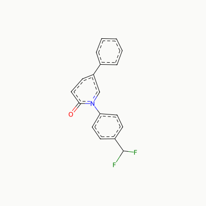 O=c1ccc(-c2ccccc2)cn1-c1ccc(C(F)F)cc1